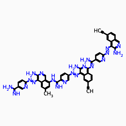 C#Cc1ccc2cnc(N)c(/N=N/c3ccc(/C(N)=N/c4nc(N)c(/N=N/c5ccc(C(=N)Nc6cc(C)cc7c(/N=N/c8ccc(C(=N)N)cn8)c(N)ncc67)nc5)c5cc(C#C)ccc45)cn3)c2c1